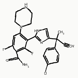 C#CC(C)(c1ccc(Cl)cc1)c1c[nH]c(-c2c(N3CCNCC3)cc(F)c(C(N)=O)c2F)n1